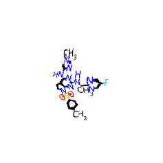 Cc1ccc(S(=O)(=O)n2ccc3c(Nc4cn(C)cn4)nc(N[C@@H](C)c4ncc(F)cn4)nc32)cc1